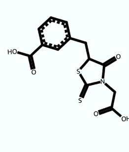 O=C(O)CN1C(=O)C(Cc2cccc(C(=O)O)c2)SC1=S